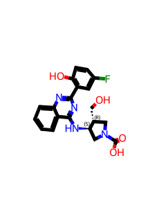 O=C(O)N1C[C@@H](CO)[C@H](Nc2nc(-c3cc(F)ccc3O)nc3ccccc23)C1